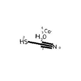 N#CS.O.[Co]